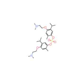 Cc1cc(OCCN(C)C)c(C(C)C)cc1OS(=O)(=O)Oc1cc(C(C)C)c(OCCN(C)C)cc1C